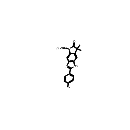 CCCCCN1C(=O)C(C)(C)c2cc3[nH]c(-c4ccc(CC)cc4)nc3cc21